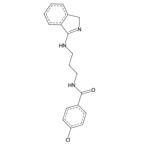 O=C(NCCCNC1=NCc2ccccc21)c1ccc(Cl)cc1